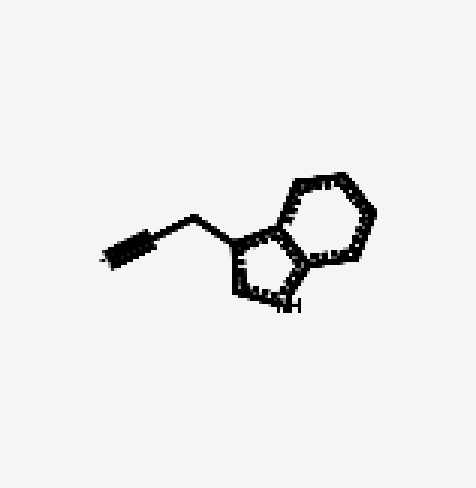 [C]#CCc1c[nH]c2ccccc12